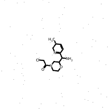 CC1C=CC(C(N)C2CN(C(=O)CCl)CCO2)=NC1